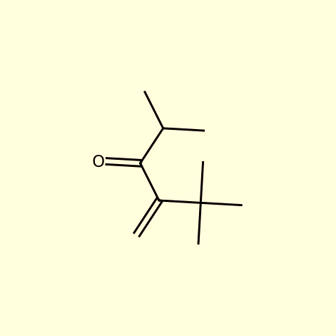 C=C(C(=O)C(C)C)C(C)(C)C